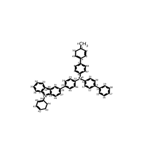 CC1C=CC(c2ccc(N(c3ccc(-c4ccccc4)cc3)c3ccc(-c4ccc5c(c4)c4ccccc4n5C4=CC=CCC4)cc3)cc2)=CC1